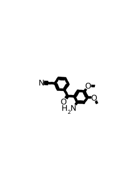 COc1cc(N)c(C(=O)c2cccc(C#N)c2)cc1OC